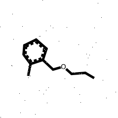 [CH2]c1ccccc1COCCC